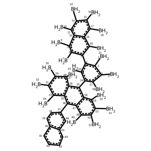 Bc1c(B)c(-c2c(B)c(B)c3c(B)c(B)c(B)c(B)c3c2B)c(B)c(-c2c3c(B)c(B)c(B)c(B)c3c(-c3ccc4ccccc4c3)c3c(B)c(B)c(B)c(B)c23)c1B